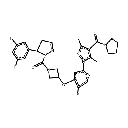 Cc1nn(-c2cc(OC3CN(C(=O)N4N=CCC4c4cc(F)cc(F)c4)C3)c(F)cn2)c(C)c1C(=O)N1CCCC1